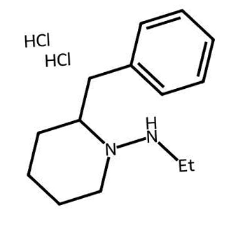 CCNN1CCCCC1Cc1ccccc1.Cl.Cl